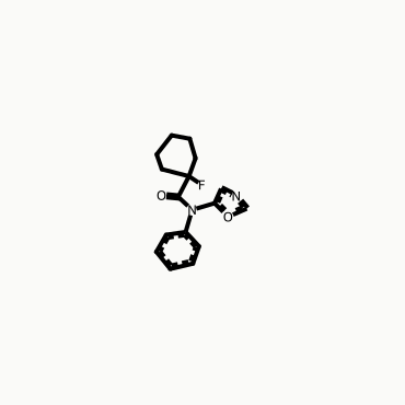 O=C(N(c1ccccc1)c1cnco1)C1(F)CCCCC1